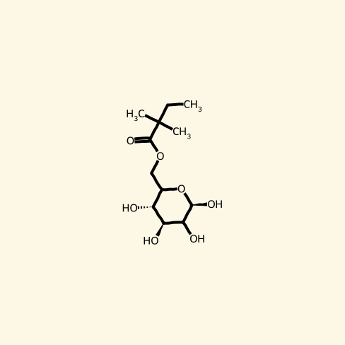 CCC(C)(C)C(=O)OCC1O[C@@H](O)C(O)[C@@H](O)[C@@H]1O